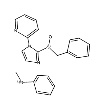 CNc1ccccc1.[O-][S+](Cc1ccccc1)c1nccn1-c1ccccn1